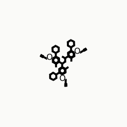 C#CCOc1cc(C)c(C(C)CC(c2cc(C3CCCCC3)c(OCC#C)cc2C)c2cc(C3CCCCC3)c(OCC#C)cc2C)cc1C1CCCCC1